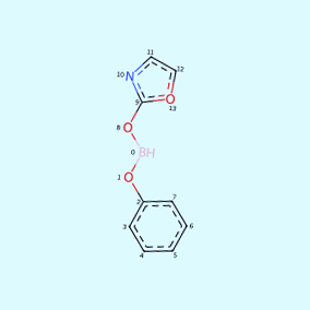 B(Oc1ccccc1)Oc1ncco1